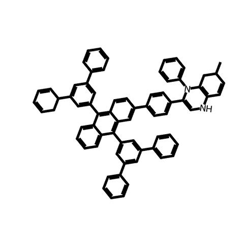 CC1C=CC2=C(C1)N(c1ccccc1)C(c1ccc(-c3ccc4c(-c5cc(-c6ccccc6)cc(C6C=CC=CC6)c5)c5ccccc5c(-c5cc(-c6ccccc6)cc(-c6ccccc6)c5)c4c3)cc1)=CN2